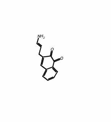 NC=CCC1=Cc2ccccc2C(=O)C1=O